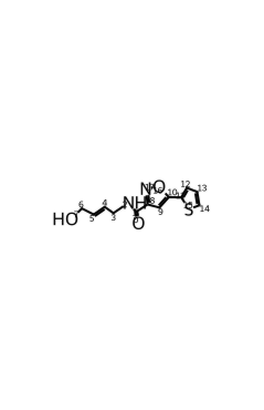 O=C(NC/C=C/CO)c1cc(-c2cccs2)on1